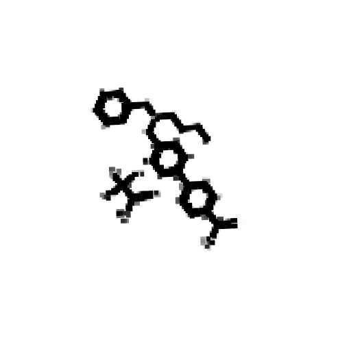 CCCCN(Cc1ccccc1)Cc1ccc(-c2ccc(C(=O)O)cc2)cc1.O=C(O)C(F)(F)F